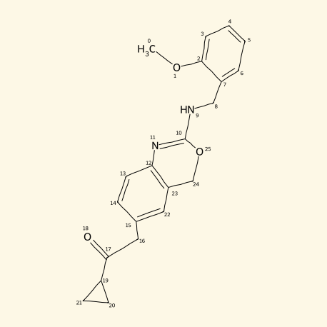 COc1ccccc1CNC1=Nc2ccc(CC(=O)C3CC3)cc2CO1